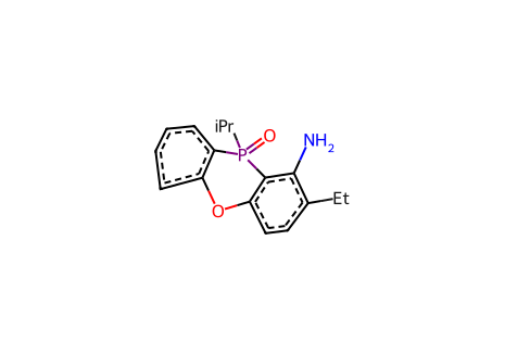 CCc1ccc2c(c1N)P(=O)(C(C)C)c1ccccc1O2